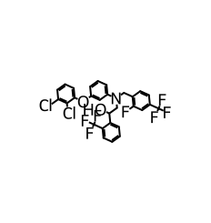 OC(CN(Cc1ccc(C(F)(F)F)cc1F)c1cccc(Oc2cccc(Cl)c2Cl)c1)c1ccccc1C(F)(F)F